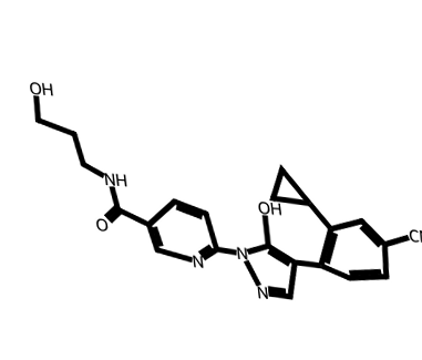 N#Cc1ccc(-c2cnn(-c3ccc(C(=O)NCCCO)cn3)c2O)c(C2CC2)c1